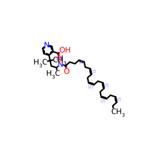 CC/C=C\C/C=C\C/C=C\C/C=C\C/C=C\C/C=C\CCC(=O)NC(C)CC(C)(C)c1ccncc1C(=O)O